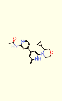 C=C1C=C(c2ccnc(NC(C)=O)c2)C=C(N2CCOCC2C2CC2)N1